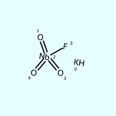 [KH].[O]=[Nb](=[O])(=[O])[F]